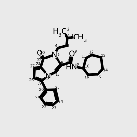 CC(C)CCn1c(C(=O)NC2CCCCCC2)cn2c(-c3ccccc3)ccc2c1=O